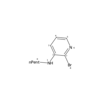 CCCCCNc1cccnc1Br